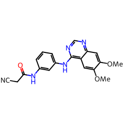 COc1cc2ncnc(Nc3cccc(NC(=O)CC#N)c3)c2cc1OC